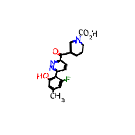 Cc1cc(O)c(-c2ccc(C(=O)C3CCCN(C(=O)O)C3)nn2)c(F)c1